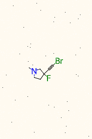 CN1CCC(F)(C#CBr)C1